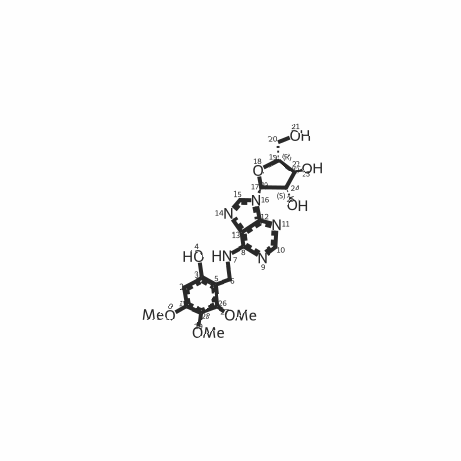 COc1cc(O)c(CNc2ncnc3c2ncn3[C@@H]2O[C@H](CO)[C@@H](O)[C@@H]2O)c(OC)c1OC